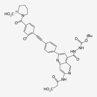 CC(C)(C)OC(=O)NNC(=O)c1cc(-c2ccc(C#Cc3ccc(C(=O)N4CCCC[C@H]4C(=O)O)cc3Cl)cc2)nc2cc(NC(=O)CC(=O)O)ncc12